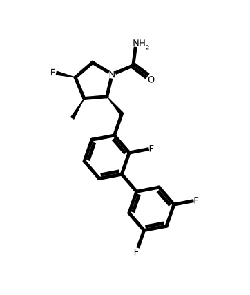 C[C@H]1[C@@H](F)CN(C(N)=O)[C@H]1Cc1cccc(-c2cc(F)cc(F)c2)c1F